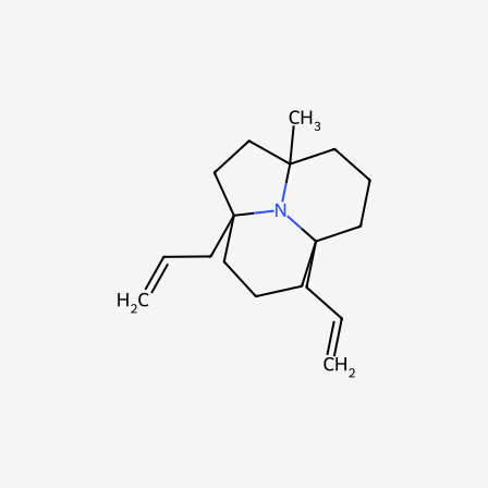 C=CCC12CCCC3(C)CCC(CC=C)(CCC1)N32